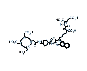 O=C(O)CC[C@@H](NC(=O)N[C@@H](CCCCNC(=O)[C@H](Cc1ccc2ccccc2c1)NC(=O)C1CCC(CNC(=O)CN2CCN(CC(=O)O)CCN(CC(=O)O)CCN(CC(=O)O)CC2)CC1)C(=O)O)C(=O)O